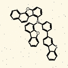 c1cc(-c2ccc3c(c2)sc2ccccc23)cc(N(c2cccc3c2oc2ccccc23)c2cccc3oc4c5ccccc5ccc4c23)c1